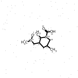 CC1CC(C[S+](C)[O-])C(C)N(C(=O)O)C1